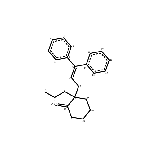 CCCC1(CC=C(c2ccccc2)c2ccccc2)CCCCC1=O